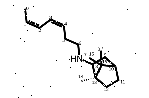 C/C=C\C=C/CCNC1CC2CC[C@]1(C)C2(C)C